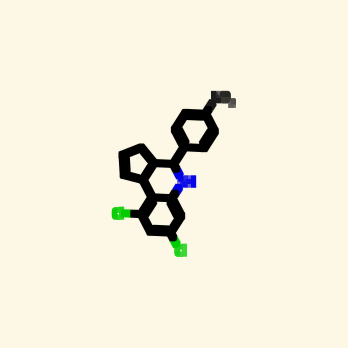 O=[N+]([O-])c1ccc(C2Nc3cc(Cl)cc(Cl)c3C3C=CCC32)cc1